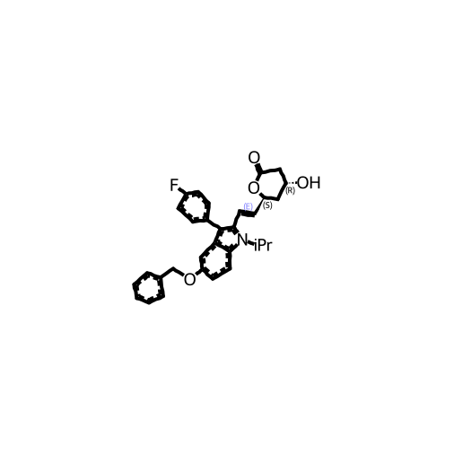 CC(C)n1c(/C=C/[C@@H]2C[C@@H](O)CC(=O)O2)c(-c2ccc(F)cc2)c2cc(OCc3ccccc3)ccc21